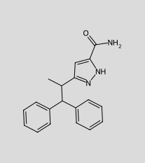 CC(c1cc(C(N)=O)[nH]n1)C(c1ccccc1)c1ccccc1